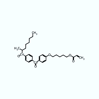 C=CC(=O)OCCCCCOc1cc[c]([Co](=[O])[c]2cc[c]([Co](=[O])[CH](C)CCCCCC)cc2)cc1